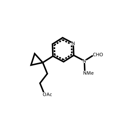 CNN(C=O)c1cc(C2(CCOC(C)=O)CC2)ccn1